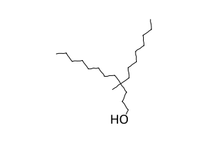 CCCCCCCCC(C)(CCCO)CCCCCCCC